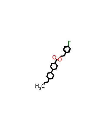 CCCC1CCC(C2CCC(C(=O)OCCc3ccc(F)cc3)CC2)CC1